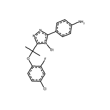 CCn1c(-c2ccc(N)cc2)nnc1C(C)(C)Oc1ccc(Cl)cc1F